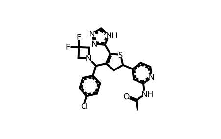 CC(=O)Nc1cc(C2CC(C(c3ccc(Cl)cc3)N3CC(F)(F)C3)=C(c3nnc[nH]3)S2)ccn1